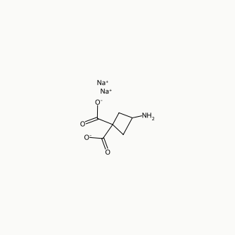 NC1CC(C(=O)[O-])(C(=O)[O-])C1.[Na+].[Na+]